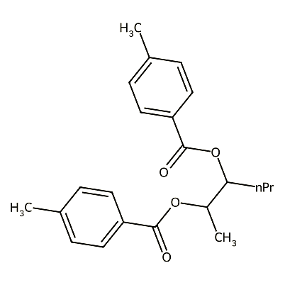 CCCC(OC(=O)c1ccc(C)cc1)C(C)OC(=O)c1ccc(C)cc1